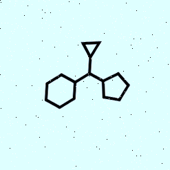 C1CCC([C](C2CCCC2)C2CC2)CC1